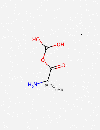 CCCC[C@H](N)C(=O)OB(O)O